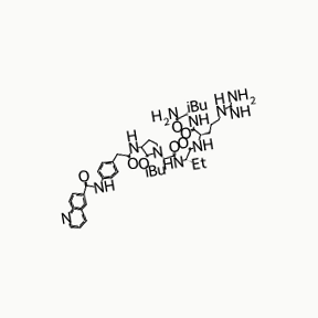 CC[C@H](NC(=O)[C@H]([C@@H](C)CC)N1CCC(NC(=O)Cc2ccc(NC(=O)c3ccc4ncccc4c3)cc2)C1=O)C(=O)N[C@H](CCCNC(=N)N)C(=O)N[C@H](C(N)=O)[C@@H](C)CC